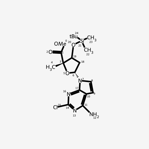 COC(=O)[C@@]1(C)O[C@@H](n2ccc3c(N)nc(Cl)nc32)CC1O[Si](C)(C)C(C)(C)C